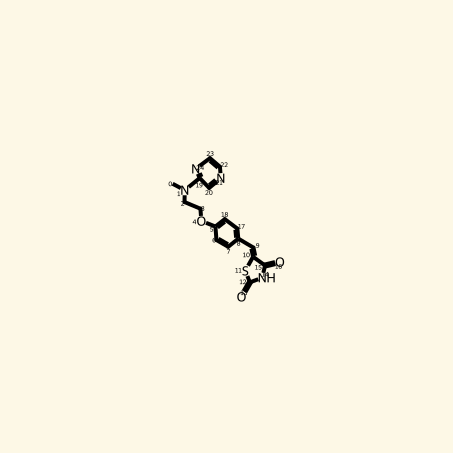 CN(CCOc1ccc(/C=C2\SC(=O)NC2=O)cc1)c1cnccn1